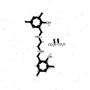 CC(=O)O.CC(=O)O.Cc1cc(C)c(O)c(CNCCNCc2cc(C)cc(C)c2O)c1